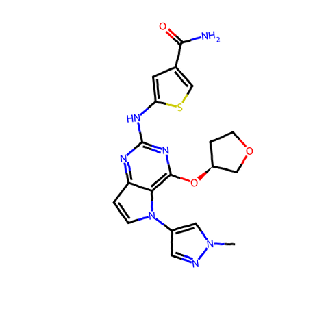 Cn1cc(-n2ccc3nc(Nc4cc(C(N)=O)cs4)nc(O[C@H]4CCOC4)c32)cn1